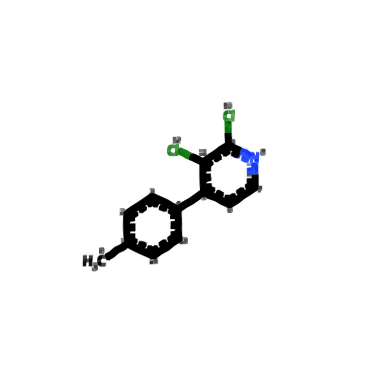 Cc1ccc(-c2ccnc(Cl)c2Cl)cc1